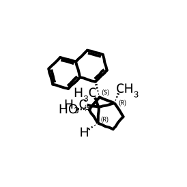 CC1(C)[C@H]2CC[C@]1(C)[C@@H](c1cccc3ccccc13)[C@H]2O